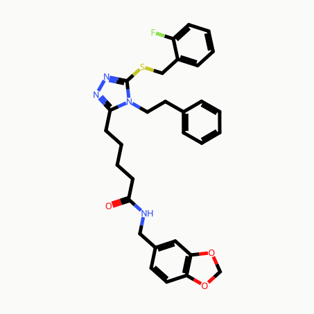 O=C(CCCCc1nnc(SCc2ccccc2F)n1CCc1ccccc1)NCc1ccc2c(c1)OCO2